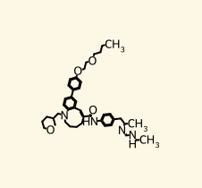 CCCCOCCOc1ccc(-c2ccc3c(c2)/C=C(/C(=O)Nc2ccc(CC(C)/N=C\NCC)cc2)CCCCN3CC2CCCOC2)cc1